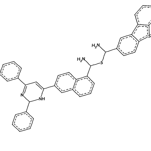 NC(SC(N)c1cccc2cc(C3=CC(c4ccccc4)=NC(c4ccccc4)N3)ccc12)c1ccc2sc3ccccc3c2c1